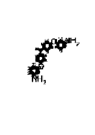 CC(c1ccc(Oc2cccc(N)c2)cc1)c1ccc(Oc2cccc(N)c2)cc1